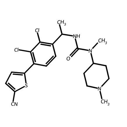 CC(NC(=O)N(C)C1CCN(C)CC1)c1ccc(-c2ccc(C#N)s2)c(Cl)c1Cl